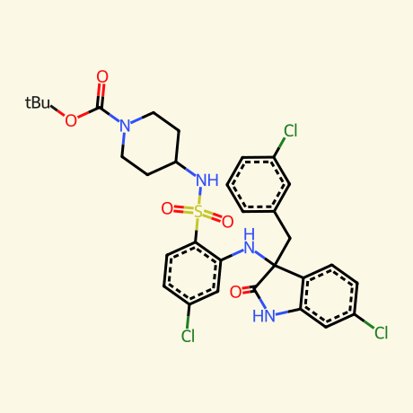 CC(C)(C)OC(=O)N1CCC(NS(=O)(=O)c2ccc(Cl)cc2NC2(Cc3cccc(Cl)c3)C(=O)Nc3cc(Cl)ccc32)CC1